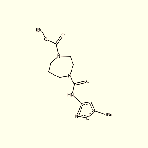 CC(C)(C)OC(=O)N1CCCN(C(=O)Nc2cc(C(C)(C)C)on2)CC1